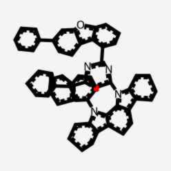 c1ccc(-c2cccc(-n3c4ccccc4c4ccc5c6ccccc6n(-c6nc(-c7ccccc7)nc(-c7cccc8oc9cc(-c%10ccccc%10)ccc9c78)n6)c5c43)c2)cc1